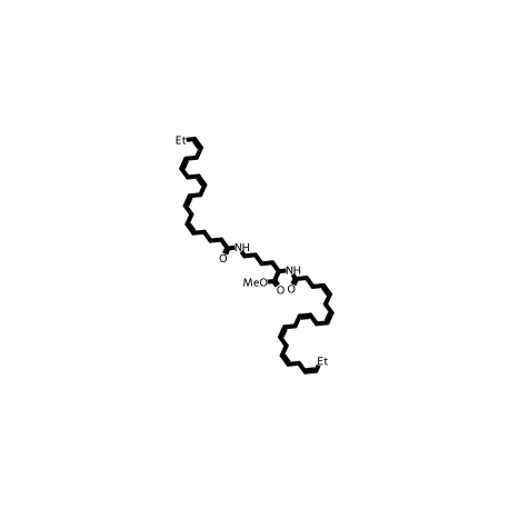 CC/C=C\C/C=C\C/C=C\C/C=C\C/C=C\C/C=C\CCC(=O)NC(CCCCNC(=O)CCC/C=C\C/C=C\C/C=C\C/C=C\C/C=C\CC)C(=O)OC